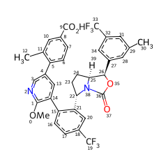 COc1ncc(-c2ccc(C(=O)O)cc2C)cc1-c1ccc(C(F)(F)F)cc1[C@@H]1CC[C@H]2[C@@H](c3cc(C)cc(C(F)(F)F)c3)OC(=O)N12